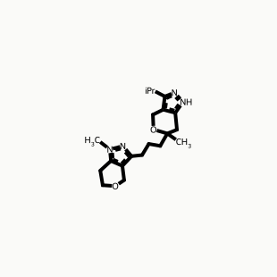 CC(C)c1n[nH]c2c1COC(C)(CCCc1nn(C)c3c1COCC3)C2